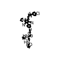 CC(C)(C)OC(=O)NCCC[C@H](NC(=O)OC(C)(C)C)C(=O)OCCOc1ccc(-c2c(C#N)c(SCc3csc(-c4ccc(Cl)cc4)n3)nc(N3CCCC3)c2C#N)cc1